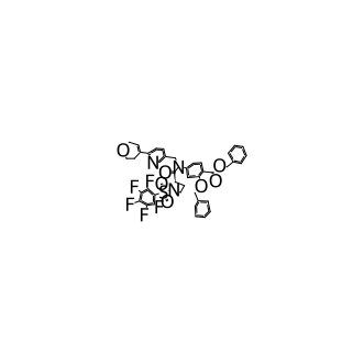 O=C(OCc1ccccc1)c1ccc(N(Cc2ccc(C3=CCOCC3)nc2)C(=O)[C@H]2CCN2S(=O)(=O)c2c(F)c(F)c(F)c(F)c2F)cc1OCc1ccccc1